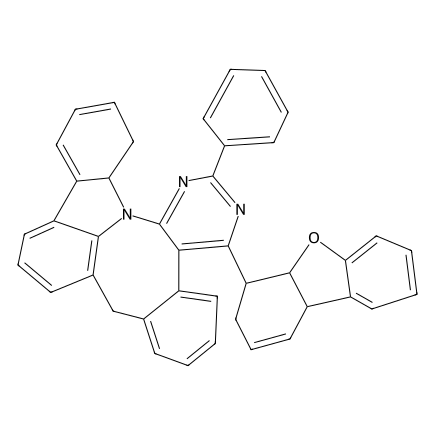 C1=CCC2C(=C1)c1cccc3c1N2c1nc(-c2ccccc2)nc(C2CC=CC4c5ccccc5OC42)c1-c1ccccc1C3